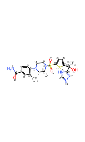 C[C@@H]1CN(c2ccc(C(N)=O)cc2C(F)(F)F)CCN1S(=O)(=O)c1ccc(C(O)(c2nnc[nH]2)C(F)(F)F)s1